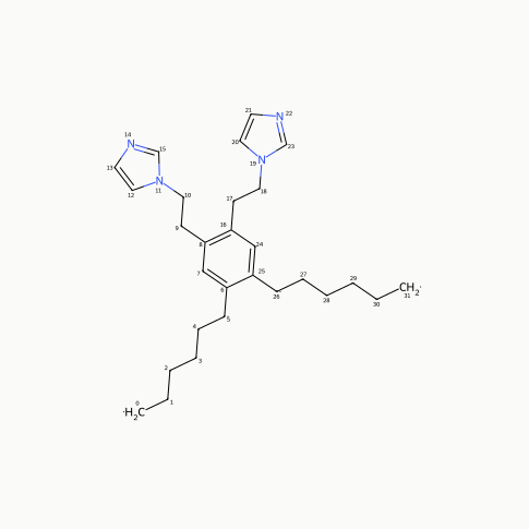 [CH2]CCCC[CH]c1cc(CCn2ccnc2)c(CCn2ccnc2)cc1[CH]CCCC[CH2]